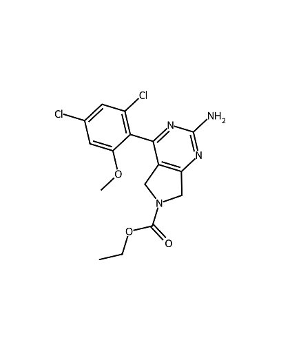 CCOC(=O)N1Cc2nc(N)nc(-c3c(Cl)cc(Cl)cc3OC)c2C1